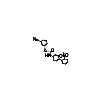 CS(=O)(=O)c1ccccc1-c1ccc(NC(=O)[C@@H]2C[C@@H]2c2cccc(C#N)c2)cc1